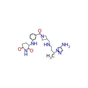 CC(CCNCC1CN(C(=O)c2cccc(NC3CCC(=O)NC3=O)c2)C1)n1cc(N)cn1